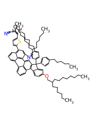 CCCCCCCCC(CCCCCC)COc1ccc2c(c1)C(c1ccc(CCCCCC)cc1)(c1ccc(CCCCCC)cc1)c1c-2c2cccc3c4cccc5c(-c6ccc(C=C(C)C#N)s6)cc6c(c54)c(c23)c1n6CC(CCCCCC)CCCCCCCC